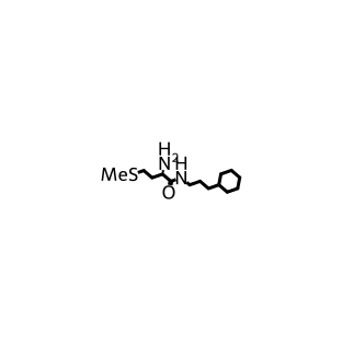 CSCC[C@@H](N)C(=O)NCCCC1CCCCC1